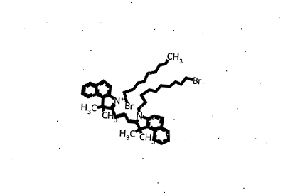 CCCCCCCCCC(Br)[N+]1=C(/C=C/C=C2\N(CCCCCCCCCCBr)c3ccc4ccccc4c3C2(C)C)C(C)(C)c2c1ccc1ccccc21